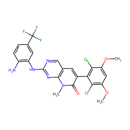 COc1cc(OC)c(Cl)c(-c2cc3cnc(Nc4cc(C(F)(F)F)ccc4N)nc3n(C)c2=O)c1Cl